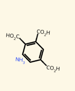 N.O=C(O)c1ccc(C(=O)O)c(C(=O)O)c1